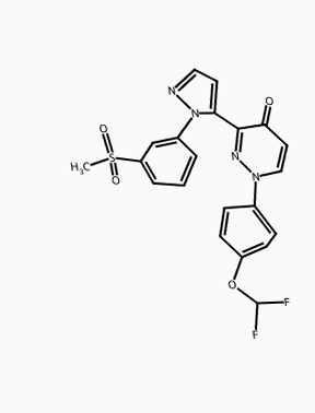 CS(=O)(=O)c1cccc(-n2nccc2-c2nn(-c3ccc(OC(F)F)cc3)ccc2=O)c1